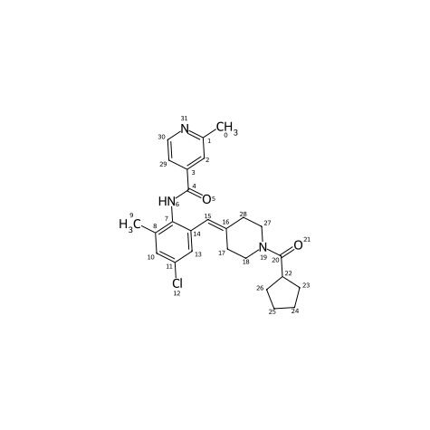 Cc1cc(C(=O)Nc2c(C)cc(Cl)cc2C=C2CCN(C(=O)C3CCCC3)CC2)ccn1